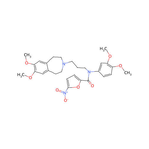 COc1ccc(N(CCCN2CCc3cc(OC)c(OC)cc3CC2)C(=O)c2ccc([N+](=O)[O-])o2)cc1OC